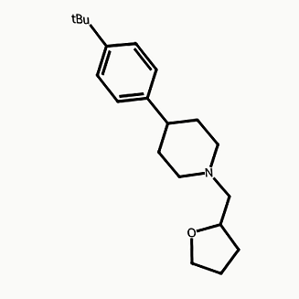 CC(C)(C)c1ccc(C2CCN(CC3CCCO3)CC2)cc1